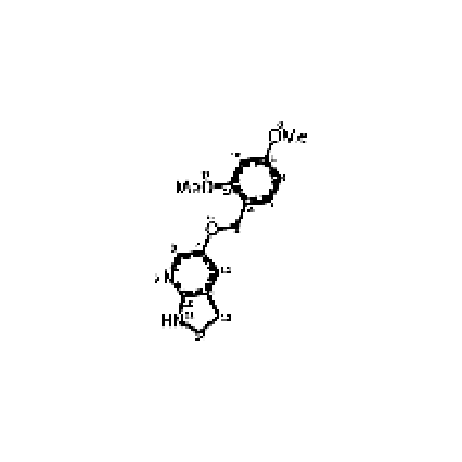 COc1ccc(COc2cnc3c(c2)CCN3)c(OC)c1